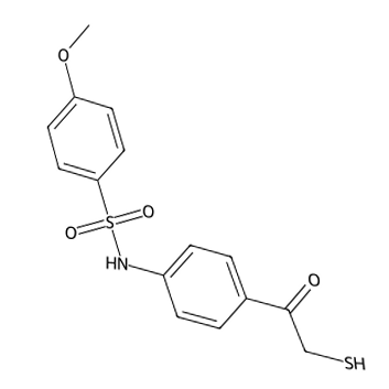 COc1ccc(S(=O)(=O)Nc2ccc(C(=O)CS)cc2)cc1